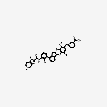 COc1c(CN2CCCC(C(=O)O)C2)cc(Cl)c(OC2CCc3c(-c4cccc(NC(=O)c5nc6c(n5C)CCN(C)C6)c4Cl)cccc32)c1F